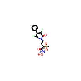 CS(=O)(=O)[C@H](CCn1cc(F)c(-c2ccccc2)c(F)c1=O)C(=O)NO